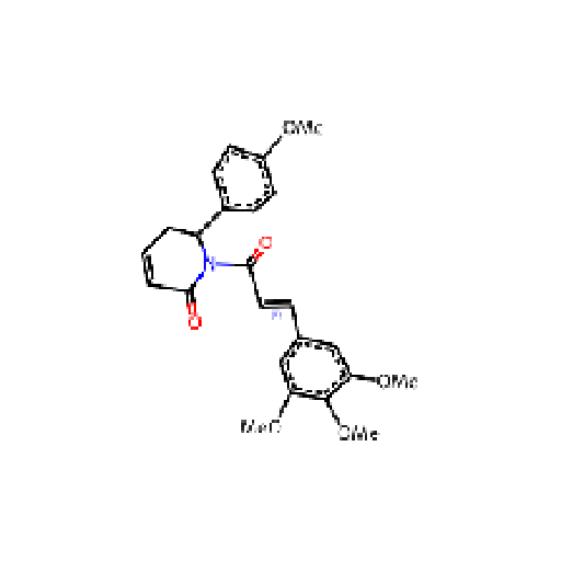 COc1ccc(C2CC=CC(=O)N2C(=O)/C=C/c2cc(OC)c(OC)c(OC)c2)cc1